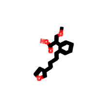 CO/C=C(/C(=O)O)c1ccccc1/C=C/C=C/c1ccoc1